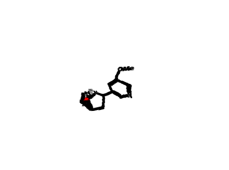 COc1cncc(C2CC3CC[N@@]2C32CCNC2)c1